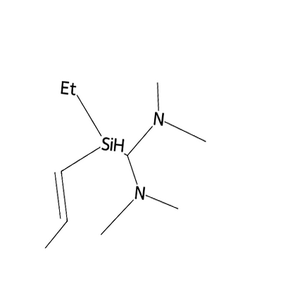 CC=C[SiH](CC)C(N(C)C)N(C)C